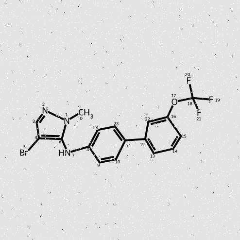 Cn1ncc(Br)c1Nc1ccc(-c2cccc(OC(F)(F)F)c2)cc1